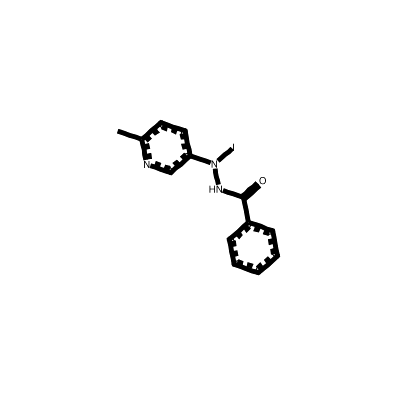 Cc1ccc(N(I)NC(=O)c2ccccc2)cn1